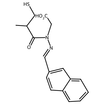 CC(CS)C(=O)N(CC(=O)O)N=Cc1ccc2ccccc2c1